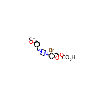 O=C(O)Oc1cc2c(Br)c(N3CCN(Cc4cccc(OC(F)(F)F)c4)CC3)ccc2o1